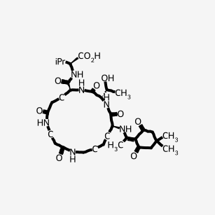 CC(N[C@H]1CCCCNC(=O)CCNC(=O)CC[C@@H](C(=O)N[C@H](C(=O)O)C(C)C)NC(=O)[C@H](C(C)O)NC1=O)=C1C(=O)CC(C)(C)CC1=O